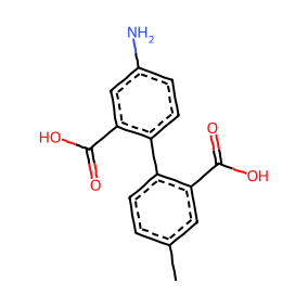 Cc1ccc(-c2ccc(N)cc2C(=O)O)c(C(=O)O)c1